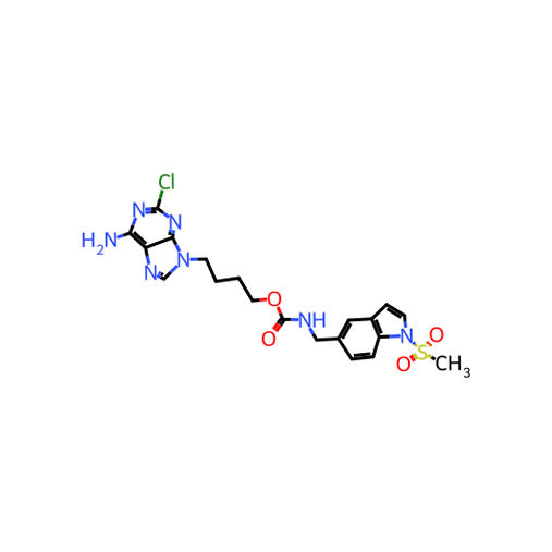 CS(=O)(=O)n1ccc2cc(CNC(=O)OCCCCn3cnc4c(N)nc(Cl)nc43)ccc21